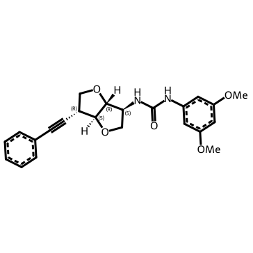 COc1cc(NC(=O)N[C@H]2CO[C@@H]3[C@@H]2OC[C@H]3C#Cc2ccccc2)cc(OC)c1